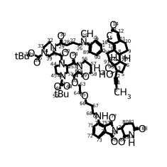 CC#C[C@]1(O)CC[C@H]2[C@@H]3CCC4=CC(=O)CCC4=C3[C@@H](c3ccc(N(C)CCCC(=O)N4CCN(C(=O)OC(C)(C)C)CC4C(=O)N4CCN(C(=O)OC(C)(C)C)CC4C(=O)NCCCOCCOCCOCCCNc4cccc5c4C(=O)N(C4CCC(=O)NC4=O)C5=O)cc3)C[C@@]21C